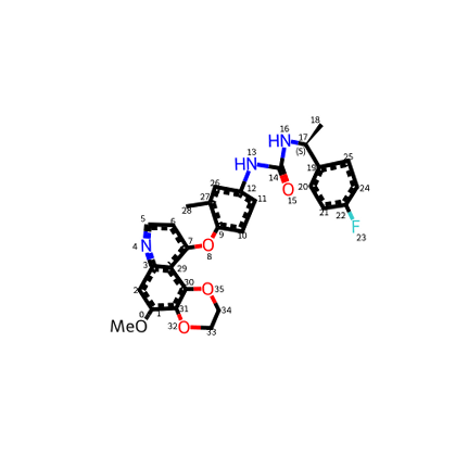 COc1cc2nccc(Oc3ccc(NC(=O)N[C@@H](C)c4ccc(F)cc4)cc3C)c2c2c1OCCO2